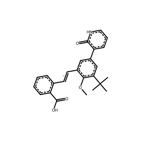 COc1c(/C=C/c2ccccc2C(=O)O)cc(-c2ccc[nH]c2=O)cc1C(C)(C)C